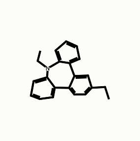 CCc1ccc2c(c1)-c1ccccc1N(CC)c1ccccc1-2